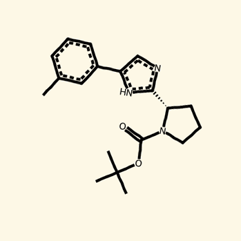 Cc1cccc(-c2cnc([C@@H]3CCCN3C(=O)OC(C)(C)C)[nH]2)c1